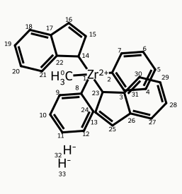 [CH3][Zr+2]([c]1ccccc1)([c]1ccccc1)([CH]1C=Cc2ccccc21)[CH]1C=Cc2ccccc21.[H-].[H-]